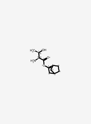 C[C@@H](O)[C@H](N)C(=O)OC1=C2CCC(C2)C1